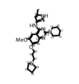 COc1cc2c(Nc3cc(C)[nH]n3)nc(N3CCCCC3)nc2cc1OCCCN1CCCC1